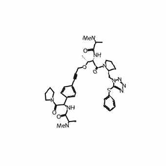 CN[C@@H](C)C(=O)N[C@H](C(=O)N1CCC[C@H]1Cn1nnnc1Sc1ccccc1)[C@@H](C)OCC#Cc1ccc([C@@H](NC(=O)[C@@H](C)NC)C(=O)N2CCCC2)cc1